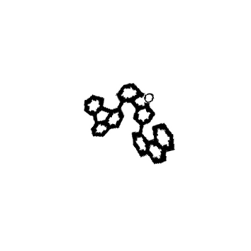 c1ccc2c(c1)-c1cccc3ccc(-c4cccc5oc6ccc(-c7cccc8ccc9ccccc9c78)cc6c45)c-2c13